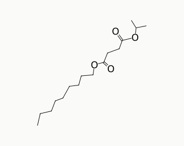 CCCCCCCCCOC(=O)CCC(=O)OC(C)C